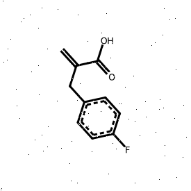 C=C(Cc1ccc(F)cc1)C(=O)O